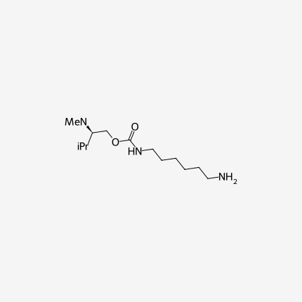 CN[C@@H](COC(=O)NCCCCCCN)C(C)C